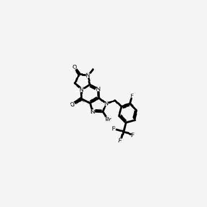 CN1C(=O)Cn2c1nc1c(nc(Br)n1Cc1cc(C(F)(F)F)ccc1F)c2=O